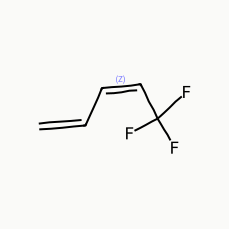 C=C/C=C\C(F)(F)F